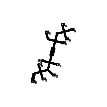 C=C[Si](C)(C)C(C)[Si](C)(C)C#CC(C)(CC)O[Si](C)(C)C